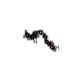 O=C1CCC(N2Cc3ccc(N4CCN(C[C@H]5CC[C@H](CN6CCN7c8cc(-c9cc(F)cc(F)c9O)nnc8NC[C@H]7C6)CC5)CC4)cc3C2=O)C(=O)N1